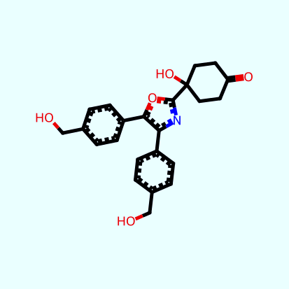 O=C1CCC(O)(c2nc(-c3ccc(CO)cc3)c(-c3ccc(CO)cc3)o2)CC1